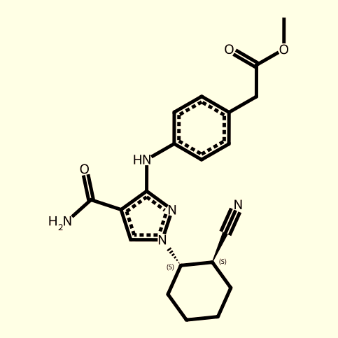 COC(=O)Cc1ccc(Nc2nn([C@H]3CCCC[C@@H]3C#N)cc2C(N)=O)cc1